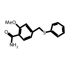 COc1cc(CSc2ccccc2)ccc1C(N)=O